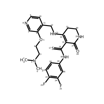 CN(C)CCOc1cnccc1CNC1=C(C(=S)Nc2ccc(F)c(F)c2)C(=O)NCC1